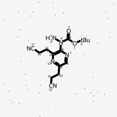 CC(C)(C)OC(=O)N(N)c1ncc(CCC#N)nc1CCC#N